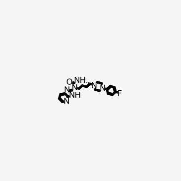 NC(=O)N(CCCCN1CCN(c2ccc(F)cc2)CC1)c1nc2cccnc2[nH]1